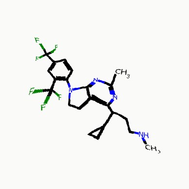 CNCCC(c1nc(C)nc2c1CCN2c1ccc(C(F)(F)F)cc1C(F)(F)F)C1CC1